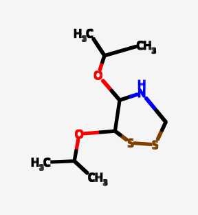 CC(C)OC1NCSSC1OC(C)C